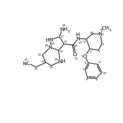 CN1CCC(Oc2ccccc2)C(NC(=O)C2C(N)NN3CC(CC#N)CNC23)C1